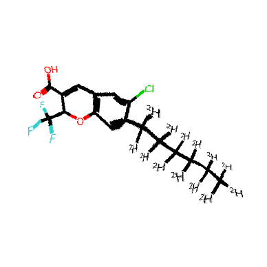 [2H]C([2H])([2H])C([2H])([2H])C([2H])([2H])C([2H])([2H])C([2H])([2H])C([2H])([2H])c1cc2c(cc1Cl)C=C(C(=O)O)C(C(F)(F)F)O2